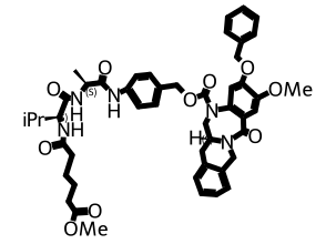 COC(=O)CCCCC(=O)N[C@H](C(=O)N[C@@H](C)C(=O)Nc1ccc(COC(=O)N2C[C@@H]3Cc4ccccc4CN3C(=O)c3cc(OC)c(OCc4ccccc4)cc32)cc1)C(C)C